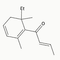 CC=CC(=O)C1=C(C)C=CCC1(C)CC